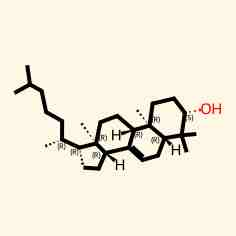 CC(C)CCC[C@@H](C)[C@H]1CC[C@H]2C3=CC[C@H]4C(C)(C)[C@@H](O)CC[C@]4(C)[C@H]3CC[C@]12C